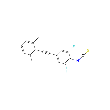 Cc1cccc(C)c1C#Cc1cc(F)c(N=C=S)c(F)c1